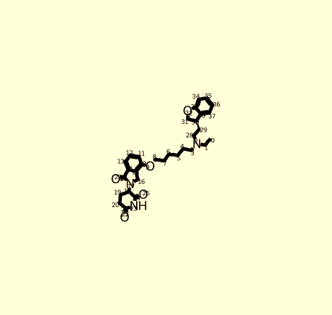 CCN(CCCCCCOc1cccc2c1CN(C1CCC(=O)NC1=O)C2=O)CC[C@H]1COc2ccccc21